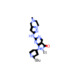 CCn1c(=O)c2cnc(Nc3cc4n(n3)CCN(C)C4)nc2n1-c1ccnc(C(C)(C)C)c1